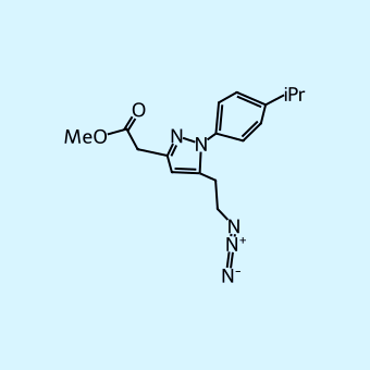 COC(=O)Cc1cc(CCN=[N+]=[N-])n(-c2ccc(C(C)C)cc2)n1